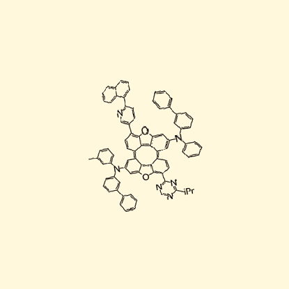 Cc1cccc(N(c2cccc(-c3ccccc3)c2)c2cc3oc4c(-c5ncnc(C(C)C)n5)ccc5c6cc(N(c7ccccc7)c7cccc(-c8ccccc8)c7)cc7oc8c(-c9ccc(-c%10cccc%11ccccc%10%11)nc9)ccc(c(c2)c3c45)c8c76)c1